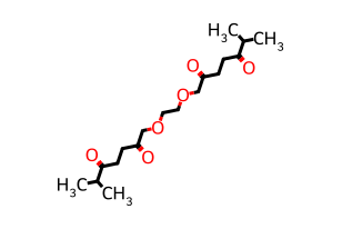 CC(C)C(=O)CCC(=O)COCCOCC(=O)CCC(=O)C(C)C